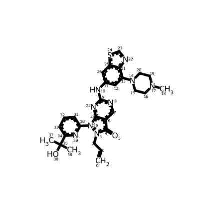 C=CCn1c(=O)c2cnc(Nc3cc(N4CCN(C)CC4)c4ncsc4c3)nc2n1-c1cccc(C(C)(C)O)n1